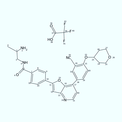 CC(N)CNC(=O)c1ccc(-c2cc3nccc(-c4ccc(OC5CCOCC5)c(C#N)c4)c3o2)cc1.O=C(O)C(F)(F)F